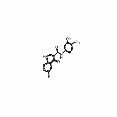 O=C(Nc1ccc(C(F)(F)F)c(O)c1)c1c[nH]c2ccc(F)cc2c1=O